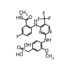 CNC(=O)c1cc(F)ccc1Nc1nc(Nc2ccc(CP(=O)(O)O)cc2OC)ncc1C(F)(F)F